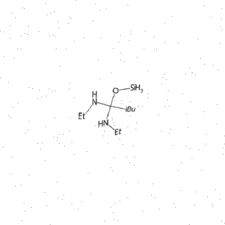 CCNC(NCC)(O[SiH3])C(C)CC